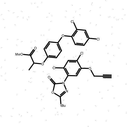 C#CCOc1cc(-n2nc(C(C)(C)C)oc2=O)c(Cl)cc1Cl.COC(=O)C(C)Oc1ccc(Oc2ccc(Cl)cc2Cl)cc1